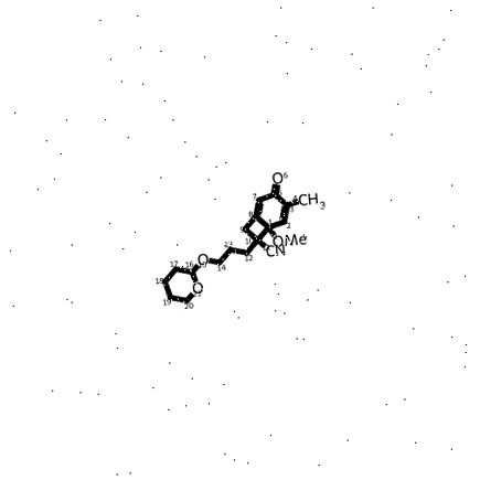 COC12C=C(C)C(=O)C=C1CC2(C#N)CCCOC1CCCCO1